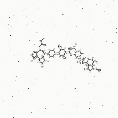 COC(=O)C[C@@H]1N=C(c2ccc(-c3cc(F)c(C(=O)N[C@H](C)c4ccc(S(=O)(=O)Nc5ccc(C)c6c(C#N)c[nH]c56)cc4)cc3F)cc2)c2c(sc(C)c2C)-n2c(C)nnc21